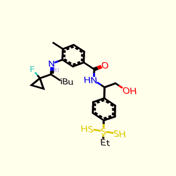 CCC(C)/C(=N\c1cc(C(=O)NC(CO)c2ccc(S(S)(S)CC)cc2)ccc1C)C1(F)CC1